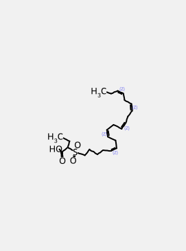 CC/C=C\C/C=C\C/C=C\C/C=C\C/C=C\CCCCS(=O)(=O)C(CC)C(=O)O